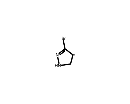 BrC1=NNC[C]1